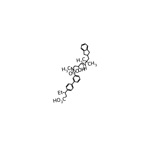 CC[C@H](CC(=O)O)c1ccc(-c2cccc(S(=O)(=O)N(C)CC(O)CNC(C)(C)CC3Cc4ccccc4C3)c2)cc1